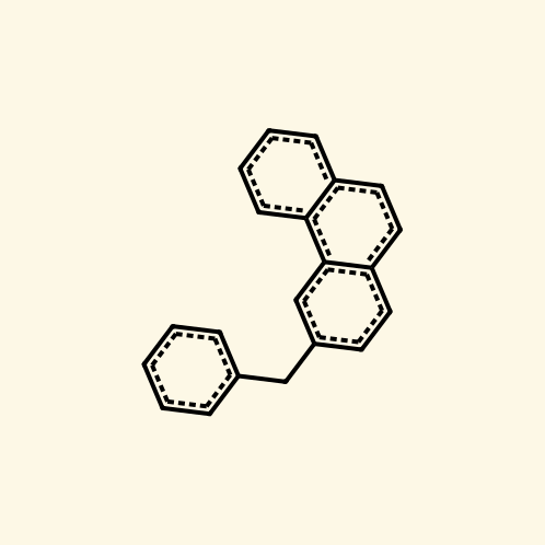 c1ccc(Cc2ccc3ccc4ccccc4c3c2)cc1